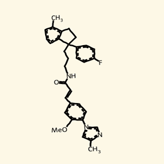 COc1cc(C=CC(=O)NCCCC2(c3ccc(F)cc3)CCc3c(C)cccc32)ccc1-n1cnc(C)c1